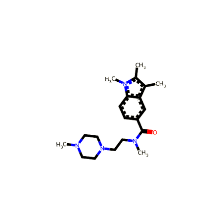 Cc1c(C)n(C)c2ccc(C(=O)N(C)CCN3CCN(C)CC3)cc12